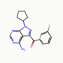 Nc1ncnc2c1c(C(=O)c1cccc(F)c1)nn2C1CCCC1